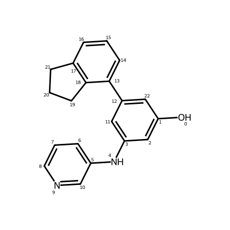 Oc1cc(Nc2cccnc2)cc(-c2cccc3c2CCC3)c1